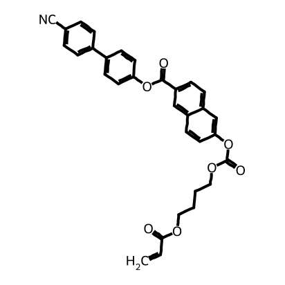 C=CC(=O)OCCCCOC(=O)Oc1ccc2cc(C(=O)Oc3ccc(-c4ccc(C#N)cc4)cc3)ccc2c1